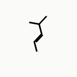 [CH2]C=CC([CH2])C